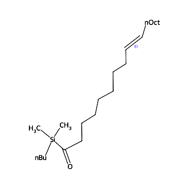 CCCCCCCC/C=C/CCCCCCCC(=O)[Si](C)(C)CCCC